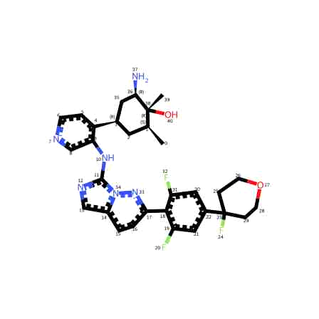 C[C@H]1C[C@@H](c2ccncc2Nc2ncc3ccc(-c4c(F)cc(C5(F)CCOCC5)cc4F)nn23)C[C@@H](N)[C@]1(C)O